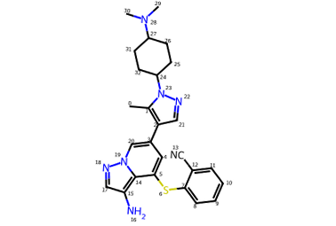 Cc1c(-c2cc(Sc3ccccc3C#N)c3c(N)cnn3c2)cnn1C1CCC(N(C)C)CC1